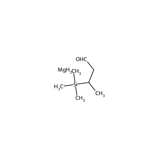 CC(CC=O)[Si](C)(C)C.[MgH2]